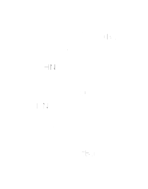 CC(C)(C)CC(C)(C)NC(=O)NC(C)(C)CC(C)(C)C